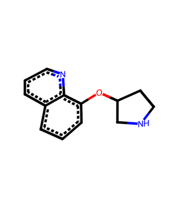 c1cnc2c(OC3CCNC3)cccc2c1